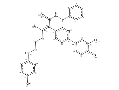 C=C(NCc1ccccc1)/[N+](=C(\CCC)CCCNc1ccc(C#N)cn1)c1ccc(-c2ccc(=O)n(C)c2)nc1